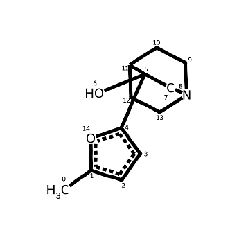 Cc1ccc(C2(O)CN3CCC2CC3)o1